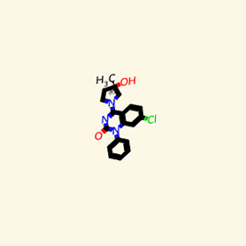 C[C@@]1(O)CCN(c2nc(=O)n(-c3ccccc3)c3cc(Cl)ccc23)C1